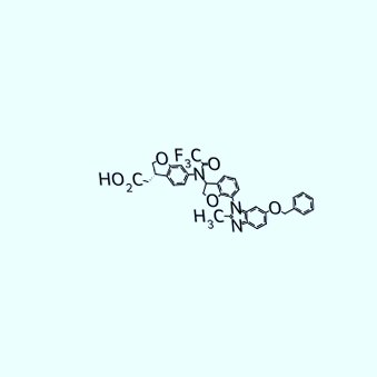 Cc1nc2ccc(OCc3ccccc3)cc2n1-c1cccc2c1OC[C@H]2N(C(=O)C(F)(F)F)c1ccc2c(c1)OC[C@H]2CC(=O)O